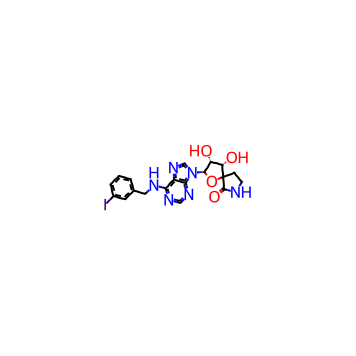 O=C1NCCC12O[C@@H](n1cnc3c(NCc4cccc(I)c4)ncnc31)[C@H](O)[C@@H]2O